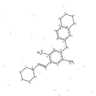 Cc1cc(N=CN2CCCCC2)c(C)cc1Cc1ccc2c(c1)CCCC2